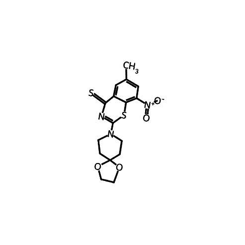 Cc1cc([N+](=O)[O-])c2sc(N3CCC4(CC3)OCCO4)nc(=S)c2c1